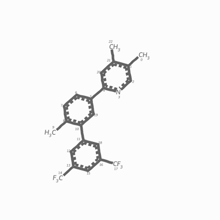 Cc1cnc(-c2ccc(C)c(-c3cc(C(F)(F)F)cc(C(F)(F)F)c3)c2)cc1C